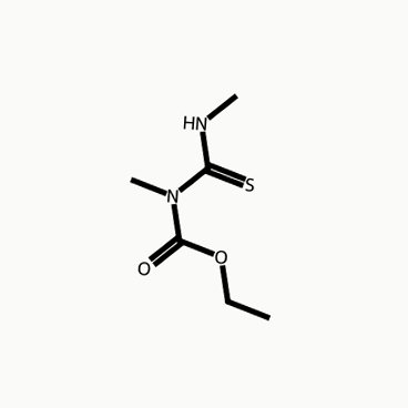 CCOC(=O)N(C)C(=S)NC